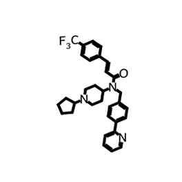 O=C(C=Cc1ccc(C(F)(F)F)cc1)N(Cc1ccc(-c2ccccn2)cc1)C1CCN(C2CCCC2)CC1